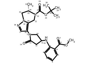 COC(=O)c1ccccc1NC1CC(=O)N(c2cnn3c2CN(C(=O)OC(C)(C)C)[C@@H](C)C3)C1